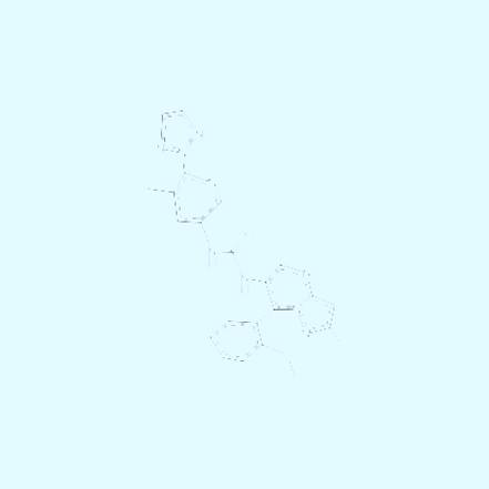 COc1ccccc1-c1c(NC(=O)Nc2cnc(-n3nccn3)c(Cl)c2)cnc2cc(Cl)nn12